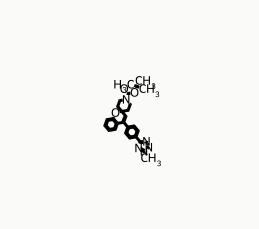 Cn1nnc(-c2ccc(C3=CC4(CCN(C(=O)OC(C)(C)C)CC4)Oc4ccccc43)cc2)n1